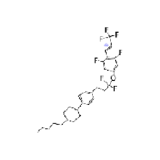 CCCCCC1CCC(c2ccc(CCC(F)(F)Oc3cc(F)c(/C=C/C(F)(F)F)c(F)c3)cc2)CC1